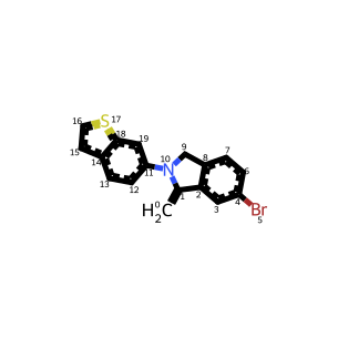 C=C1c2cc(Br)ccc2CN1c1ccc2ccsc2c1